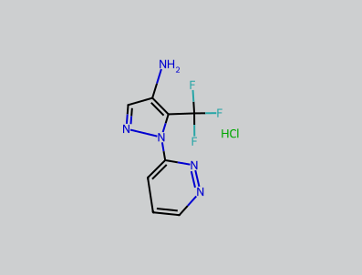 Cl.Nc1cnn(-c2cccnn2)c1C(F)(F)F